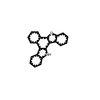 c1ccc2c(c1)[nH]c1c2c2ccccc2c2oc3ccccc3c12